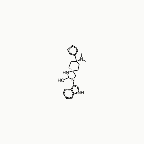 CN(C)[C@]1(c2ccccc2)CC[C@]2(CC1)CN(c1c[nH]c3ccccc13)C(O)N2